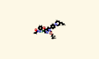 C=CC(=O)Nc1cccc(Oc2c(Cl)cnc3c2cc(-c2ccc(N4CCCC(CCC)CC4)cc2)n3COCC[Si](C)(C)C)c1